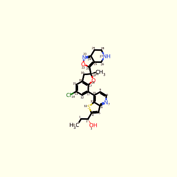 CC[C@@H](O)c1cc2nccc(-c3cc(Cl)cc4c3O[C@@](C)(c3onc5c3CNCC5)C4)c2s1